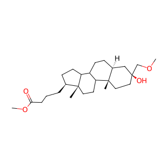 COC[C@]1(O)CC[C@]2(C)C3CC[C@@]4(C)C(CC[C@@H]4CCCC(=O)OC)C3CC[C@H]2C1